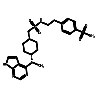 CN(c1ncnc2[nH]ccc12)[C@H]1CC[C@H](CS(=O)(=O)NCCc2ccc(S(N)(=O)=O)cc2)CC1